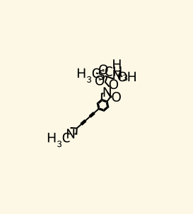 CN1CC(C#CC#Cc2ccc3c(c2)CN(CC[C@](C)(C(=O)NO)S(C)(=O)=O)C3=O)C1